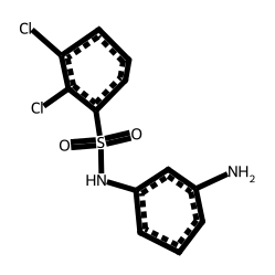 Nc1cccc(NS(=O)(=O)c2cccc(Cl)c2Cl)c1